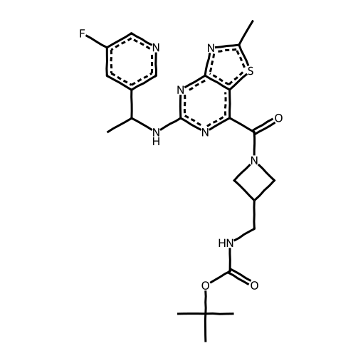 Cc1nc2nc(NC(C)c3cncc(F)c3)nc(C(=O)N3CC(CNC(=O)OC(C)(C)C)C3)c2s1